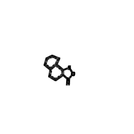 c1ccc2c3c(ccc2c1)NOS3